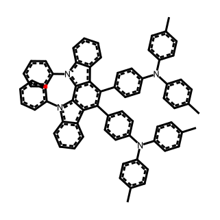 Cc1ccc(N(c2ccc(C)cc2)c2ccc(-c3c(-c4ccc(N(c5ccc(C)cc5)c5ccc(C)cc5)cc4)c4c5ccccc5n(-c5ccccc5)c4c4c3c3ccccc3n4-c3ccccc3)cc2)cc1